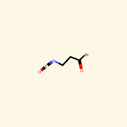 CC(C)C(=O)CCN=C=O